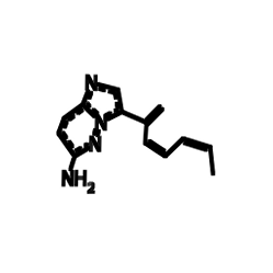 C=C(/C=C\C=C/C)c1cnc2ccc(N)nn12